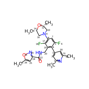 Cc1cc(-c2c(F)cc(N3C[C@@H](C)O[C@@H](C)C3)c(F)c2CNC(=O)c2cc(C)on2)cc(C)n1